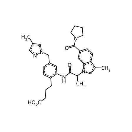 Cc1cnn(Cc2ccc(CCCC(=O)O)c(NC(=O)C(C)n3cc(C)c4ccc(C(=O)N5CCCC5)cc43)c2)c1